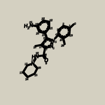 Cc1ccc(-n2nc(C(=O)NN3CCCCC3)c(C)c2-c2cccc(N)c2)c(C)c1